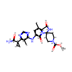 Cc1cc(Nc2ncnc(C3(C(N)=O)CC3)c2C)c(=O)n2c1C(=O)NC21CCN(C(=O)OC(C)(C)C)CC1